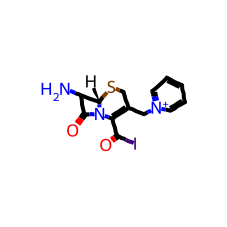 NC1C(=O)N2C(C(=O)I)=C(C[n+]3ccccc3)CS[C@@H]12